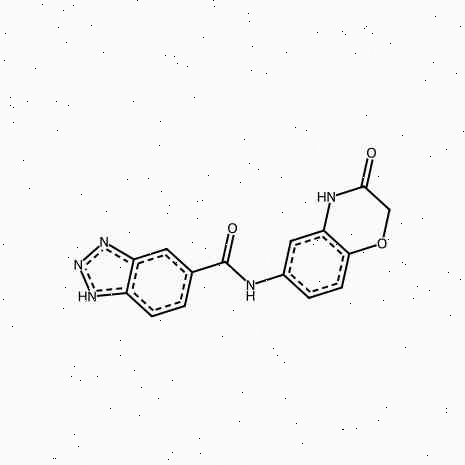 O=C1COc2ccc(NC(=O)c3ccc4[nH]nnc4c3)cc2N1